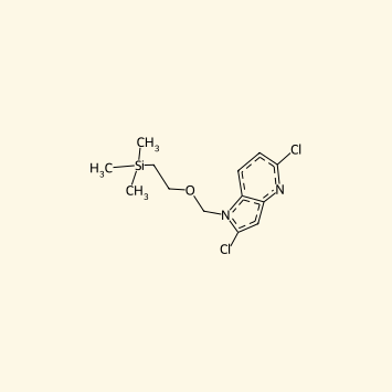 C[Si](C)(C)CCOCn1c(Cl)cc2nc(Cl)ccc21